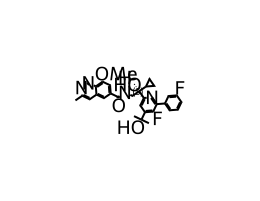 COc1cc(C(=O)NC[C@](O)(c2cc(C(C)(C)O)c(F)c(-c3cccc(F)c3)n2)C2CC2)cc2cc(C)nnc12